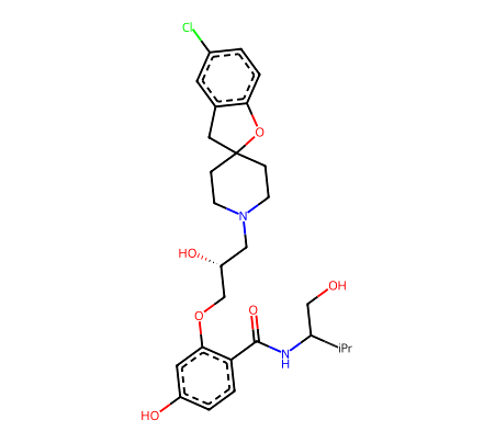 CC(C)C(CO)NC(=O)c1ccc(O)cc1OC[C@H](O)CN1CCC2(CC1)Cc1cc(Cl)ccc1O2